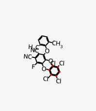 Cc1cccc(C)c1Oc1c(C#N)c(C#N)c(F)c(Oc2cc(Cl)ccc2Cl)c1Oc1cc(Cl)ccc1Cl